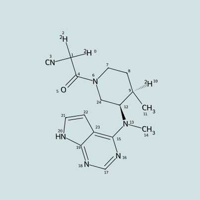 [2H]C([2H])([N+]#[C-])C(=O)N1CC[C@@]([2H])(C)[C@@H](N(C)c2ncnc3[nH]ccc23)C1